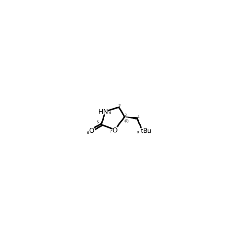 CC(C)(C)C[C@@H]1CNC(=O)O1